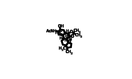 C=C1CC[C@H]2[C@@H]3[C@H]4OC(C)(C)O[C@@H]4[C@H]4CC(O)C(NC(C)=O)C[C@]4(C)[C@H]3CC[C@]12C